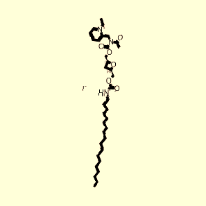 CCCCCCCCCCCCCCCCCCNC(=O)OC[C@H]1C[C@@H](COC(=O)N(Cc2cccc[n+]2CC)C(C)=O)O1.[I-]